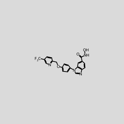 O=C(NO)c1ccc2ncn(-c3ccc(OCc4ccc(C(F)(F)F)cn4)cc3)c2c1